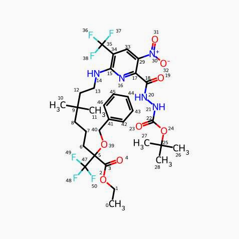 CCOC(=O)C(CCCC(C)(C)CCNc1nc(C(=O)NNC(=O)OC(C)(C)C)c([N+](=O)[O-])cc1C(F)(F)F)(OCc1ccccc1)C(F)(F)F